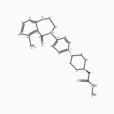 CC(C)(C)NC(=O)C[C@H]1CC[C@H](c2ccc(N3CCOc4ncnc(N)c4C3=O)cc2)CC1